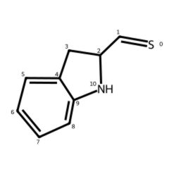 S=CC1Cc2ccccc2N1